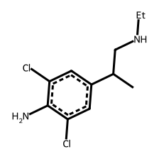 CCNCC(C)c1cc(Cl)c(N)c(Cl)c1